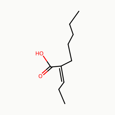 CCC=C(CCCCC)C(=O)O